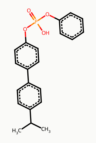 CC(C)c1ccc(-c2ccc(OP(=O)(O)Oc3ccccc3)cc2)cc1